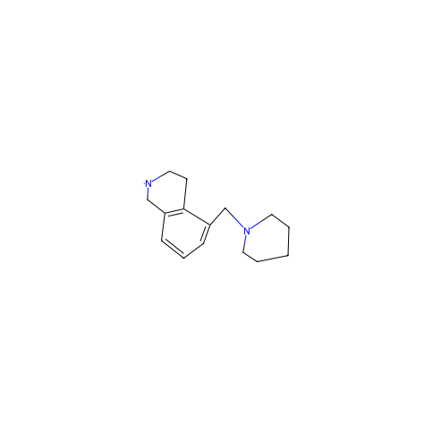 c1cc2c(c(CN3CCCCC3)c1)CC[N]C2